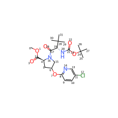 COC(=O)[C@@H]1CC(Oc2ccc(Cl)cn2)CN1C(=O)[C@@H](NC(=O)OC(C)(C)C)C(C)(C)C